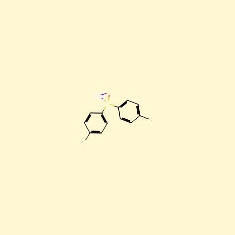 O=Nc1ccc(S2(c3ccc(N=O)cc3)NO2)cc1